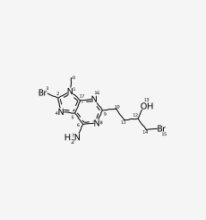 Cn1c(Br)nc2c(N)nc(CCC(O)CBr)nc21